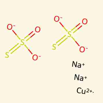 O=S([O-])([O-])=S.O=S([O-])([O-])=S.[Cu+2].[Na+].[Na+]